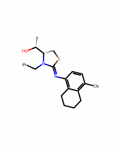 CC(C)CN1/C(=N/c2ccc(C#N)c3c2CCCC3)SC[C@H]1[C@@H](C)O